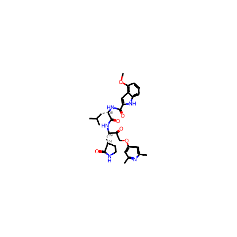 COc1cccc2[nH]c(C(=O)N[C@@H](CC(C)C)C(=O)N[C@@H](C[C@@H]3CCNC3=O)C(=O)COc3cc(C)nc(C)c3)cc12